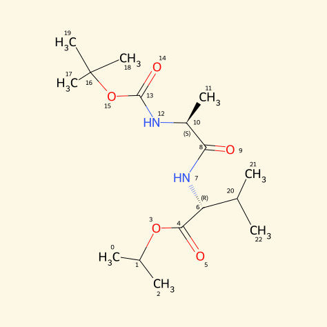 CC(C)OC(=O)[C@H](NC(=O)[C@H](C)NC(=O)OC(C)(C)C)C(C)C